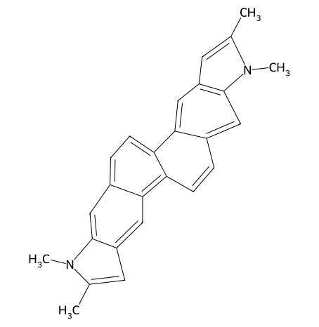 Cc1cc2cc3c(ccc4c5cc6cc(C)n(C)c6cc5ccc34)cc2n1C